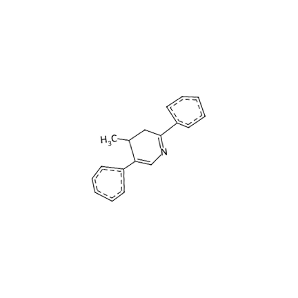 CC1CC(c2ccccc2)=NC=C1c1ccccc1